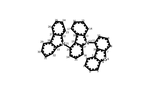 c1ccc2c(c1)sc1cccc(-n3c4ccccc4c4c(-n5c6ccccc6c6ccccc65)cccc43)c12